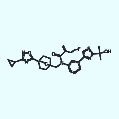 C=C(CCF)C(=O)N(CC12CCC(c3nc(C4CC4)no3)(CC1)CC2)c1cccc(-c2csc(C(C)(C)O)n2)c1